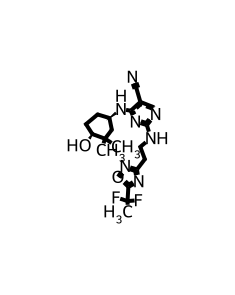 CC(F)(F)c1nc(CCNc2ncc(C#N)c(N[C@@H]3CC[C@H](O)C(C)(C)C3)n2)no1